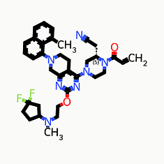 C=CC(=O)N1CCN(c2nc(OCCN(C)C3CCC(F)(F)C3)nc3c2CCN(c2cccc4cccc(C)c24)C3)C[C@@H]1CC#N